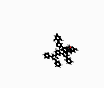 Cc1cc(C)c(-c2ccc3c(c2)c2cc(-c4c(C)cc(C)cc4C)ccc2n3-c2ccc(-c3cc(-c4ccccc4)nc(-c4ccccc4)n3)cc2-c2nc(-c3ccccc3)cc(-c3ccccc3)n2)c(C)c1